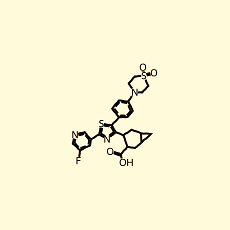 O=C(O)C1CC2CC2CC1c1nc(-c2cncc(F)c2)sc1-c1ccc(N2CCS(=O)(=O)CC2)cc1